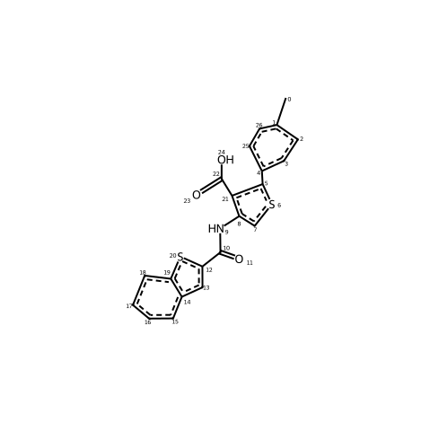 Cc1ccc(-c2scc(NC(=O)c3cc4ccccc4s3)c2C(=O)O)cc1